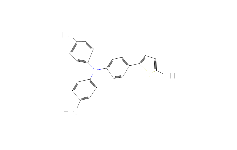 Cc1ccc(N(c2ccc(C)cc2)c2ccc(-c3ccc(C)s3)cc2)cc1